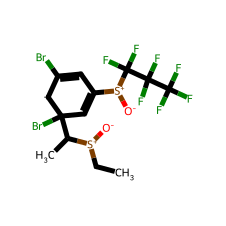 CC[S+]([O-])C(C)C1(Br)[CH]C(Br)=CC([S+]([O-])C(F)(F)C(F)(F)C(F)(F)F)=C1